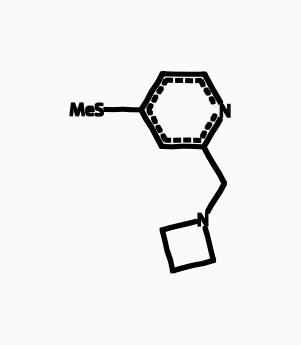 CSc1ccnc(CN2CCC2)c1